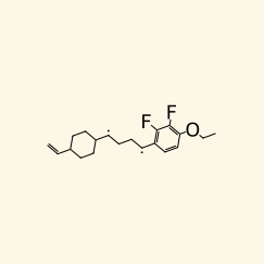 C=CC1CCC([CH]CC[CH]c2ccc(OCC)c(F)c2F)CC1